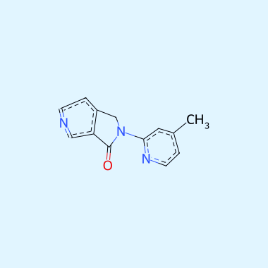 Cc1ccnc(N2Cc3ccncc3C2=O)c1